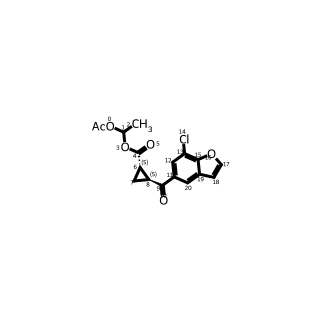 CC(=O)OC(C)OC(=O)[C@H]1C[C@@H]1C(=O)c1cc(Cl)c2occc2c1